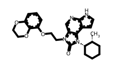 C[C@@H]1CCCC[C@@H]1n1c(=O)n(CCOc2cccc3c2OCCO3)c2cnc3[nH]ccc3c21